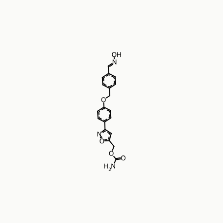 NC(=O)OCc1cc(-c2ccc(OCc3ccc(C=NO)cc3)cc2)no1